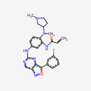 C=CC(=O)Nc1cc(Nc2ncc3noc(-c4cccc(F)c4)c3n2)ccc1N(C)C1CCN(C)C1